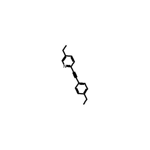 CCc1ccc(C#Cc2ccc(CC)cn2)cc1